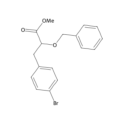 COC(=O)C(Cc1ccc(Br)cc1)OCc1ccccc1